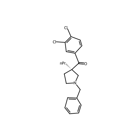 CCC[C@@]1(C(=O)c2ccc(Cl)c(Cl)c2)CCN(Cc2ccccc2)C1